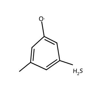 Cc1cc(C)cc([O])c1.S